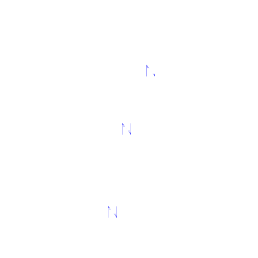 CC1CCN(C2CC[N]CC2)CCN1C